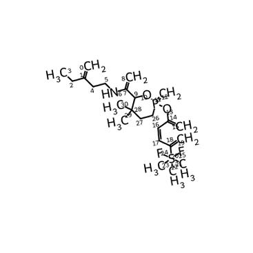 C=C(CC)CCNC(=C)C1OP(=C)(OC(=C)/C=C\C(=C)S(C)(C)(C)(F)F)CCC1(C)C